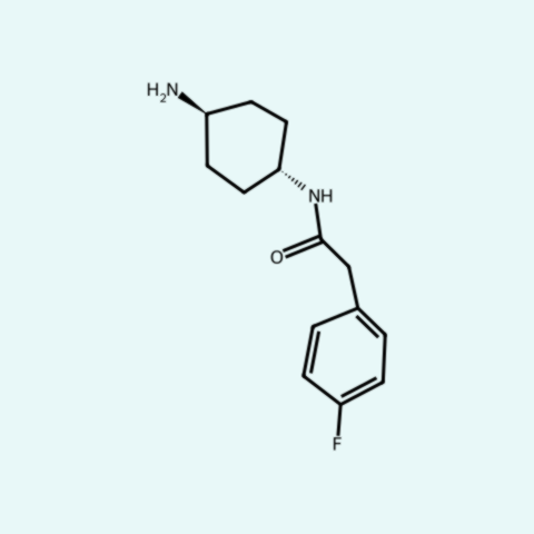 N[C@H]1CC[C@H](NC(=O)Cc2ccc(F)cc2)CC1